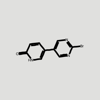 O=c1ccc(-c2cnc(Br)nc2)c[nH]1